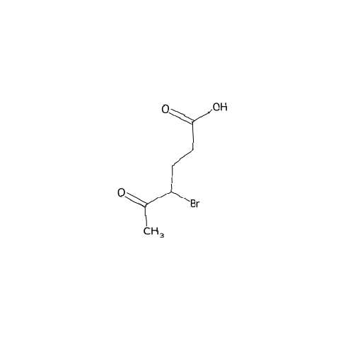 CC(=O)C(Br)CCC(=O)O